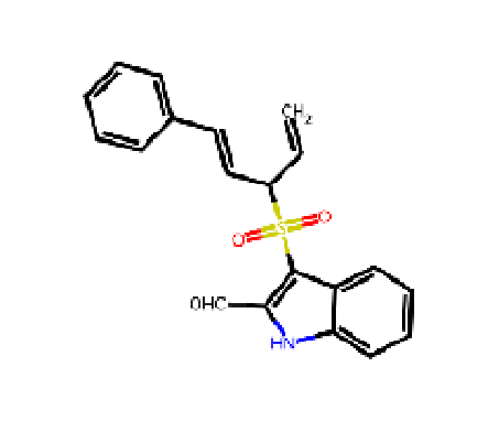 C=CC(C=Cc1ccccc1)S(=O)(=O)c1c(C=O)[nH]c2ccccc12